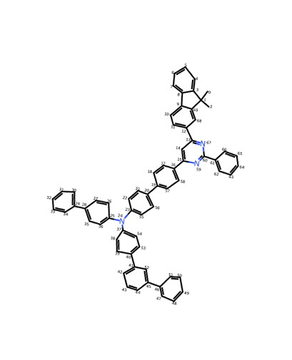 CC1(C)c2ccccc2-c2ccc(-c3cc(-c4ccc(-c5ccc(N(c6ccc(-c7ccccc7)cc6)c6ccc(-c7cccc(-c8ccccc8)c7)cc6)cc5)cc4)nc(-c4ccccc4)n3)cc21